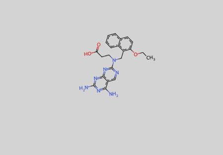 CCOc1ccc2ccccc2c1CN(CCC(=O)O)c1ncc2c(N)nc(N)nc2n1